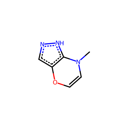 CN1C=COc2cn[nH]c21